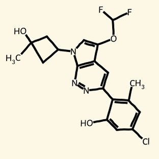 Cc1cc(Cl)cc(O)c1-c1cc2c(OC(F)F)cn(C3CC(C)(O)C3)c2nn1